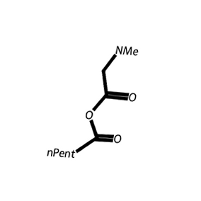 CCCCCC(=O)OC(=O)CNC